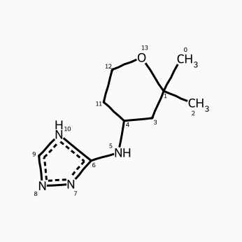 CC1(C)CC(Nc2nnc[nH]2)CCO1